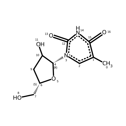 Cc1cn([C@@H]2O[C@H](CO)CC2O)c(=O)[nH]c1=O